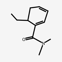 CCC1CC=CC=C1C(=O)N(C)C